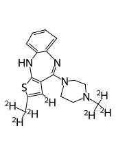 [2H]c1c(C([2H])([2H])[2H])sc2c1C(N1CCN(C([2H])([2H])[2H])CC1)=Nc1ccccc1N2